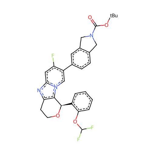 CC(C)(C)OC(=O)N1Cc2ccc(-c3cn4c5c(nc4cc3F)CCO[C@@H]5c3ccccc3OC(F)F)cc2C1